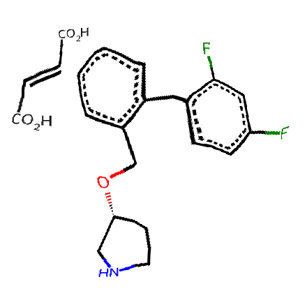 Fc1ccc(-c2ccccc2CO[C@@H]2CCNC2)c(F)c1.O=C(O)/C=C/C(=O)O